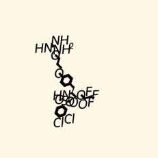 N=C(N)NOCCCOc1ccc(C[C@H](NS(=O)(=O)c2ccc(Cl)c(Cl)c2)C(=O)OC(=O)C(F)(F)F)cc1